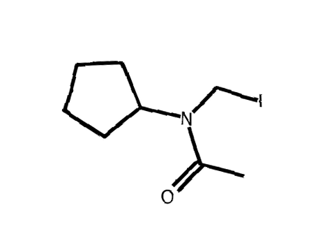 CC(=O)N(CI)C1CCCC1